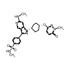 CNc1cc2c(cn1)c(-c1ccc(S(=O)(=O)NC)cc1)nn2[C@H]1CC[C@@H](Oc2ccc(=O)n(C)n2)CC1